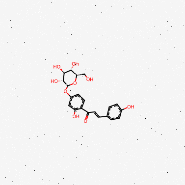 O=C(/C=C/c1ccc(O)cc1)c1ccc(O[C@@H]2O[C@H](CO)[C@@H](O)[C@H](O)[C@H]2O)cc1O